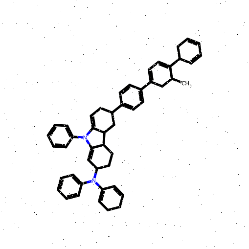 CC1CC(c2ccc(C3CC=C4C(C3)C3CCC(N(C5=CCCC=C5)c5ccccc5)C=C3N4c3ccccc3)cc2)=CC=C1C1C=CC=CC1